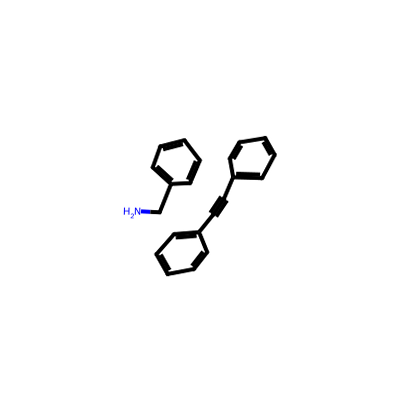 C(#Cc1ccccc1)c1ccccc1.NCc1ccccc1